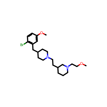 COCCN1CCCC(CCN2CCC(Cc3cc(OC)ccc3Br)CC2)C1